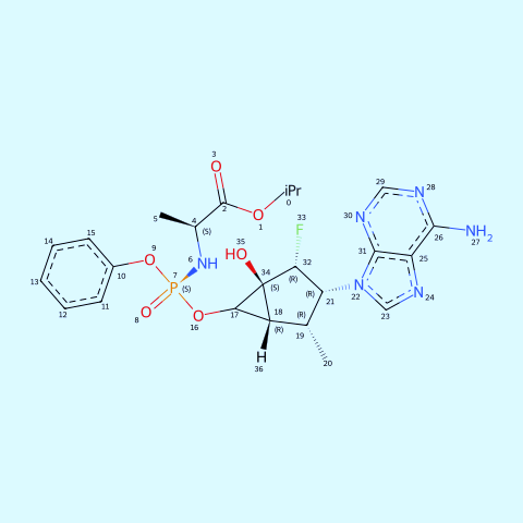 CC(C)OC(=O)[C@H](C)N[P@@](=O)(Oc1ccccc1)OC1[C@H]2[C@@H](C)[C@@H](n3cnc4c(N)ncnc43)[C@@H](F)[C@@]12O